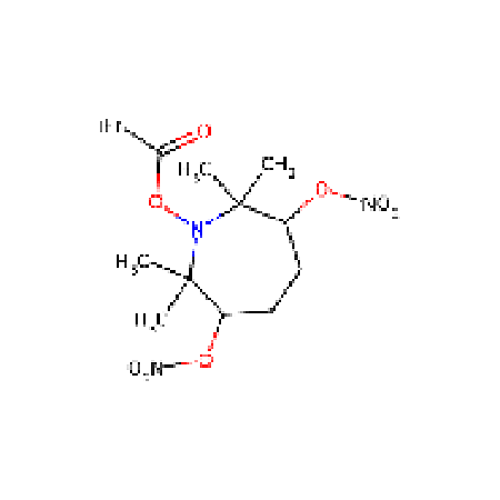 CC(C)C(=O)ON1C(C)(C)C(O[N+](=O)[O-])CCC(O[N+](=O)[O-])C1(C)C